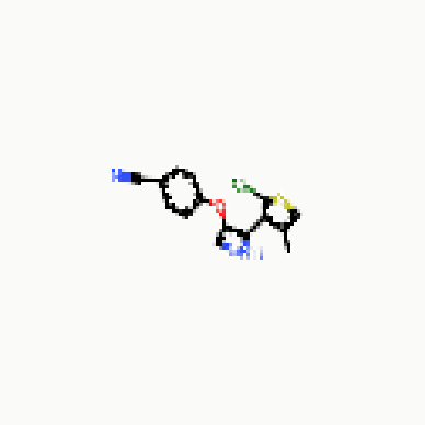 Cc1csc(Cl)c1-c1[nH]ncc1Oc1ccc(C#N)cc1